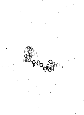 COC(=O)N[C@H](C(=O)N1CCC[C@H]1c1ncc(-c2ccc3oc(-c4ccc(-c5c[nH]c([C@@H]6CCCN6C(=O)[C@@H](NC(=O)OC)C(C)C)n5)cc4F)cc3c2)[nH]1)c1ccccc1